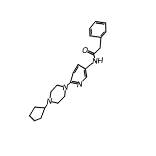 O=C(Cc1ccccc1)Nc1ccc(N2CCN(C3CCCC3)CC2)nc1